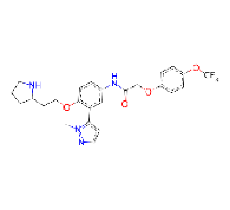 Cn1nccc1-c1cc(NC(=O)COc2ccc(OC(F)(F)F)cc2)ccc1OCCC1CCCN1